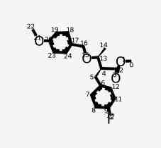 COC(=O)[C@@H](Cc1ccc(F)cc1)[C@H](C)OCc1ccc(OC)cc1